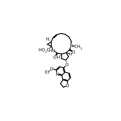 CCOc1cc(O[C@@H]2C[C@H]3C(=O)N[C@]4(C(=O)O)C[C@H]4/C=C\CCCCN(C)C(=O)[C@@H]3C2)c2ccc3c(c2n1)CCO3